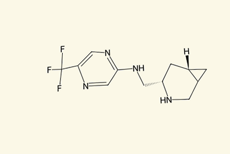 FC(F)(F)c1cnc(NC[C@@H]2C[C@@H]3CC3CN2)cn1